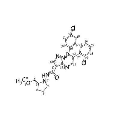 COC[C@@H]1CCCN1NC(=O)c1cnn2c(-c3ccc(Cl)cc3)c(-c3ccccc3Cl)cnc12